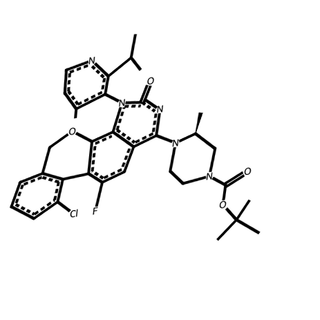 Cc1ccnc(C(C)C)c1-n1c(=O)nc(N2CCN(C(=O)OC(C)(C)C)C[C@@H]2C)c2cc(F)c3c(c21)OCc1cccc(Cl)c1-3